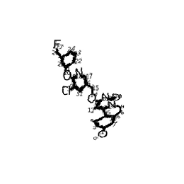 COc1ccc2c(c1)CCn1c-2cc(OCc2cnc(Oc3cccc(CF)c3)c(Cl)c2)nc1=O